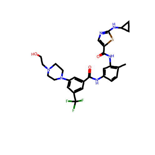 Cc1ccc(NC(=O)c2cc(N3CCN(CCO)CC3)cc(C(F)(F)F)c2)cc1NC(=O)c1cnc(NC2CC2)s1